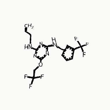 C=CCNc1nc(Nc2cccc(C(F)(F)F)c2)nc(OCC(F)(F)F)n1